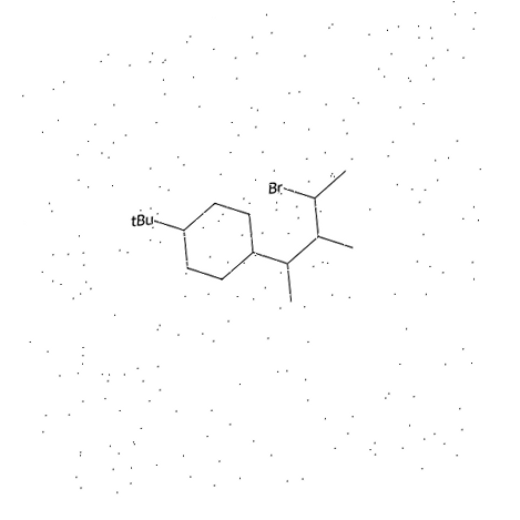 CC(Br)C(C)C(C)C1CCC(C(C)(C)C)CC1